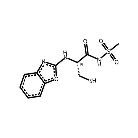 CS(=O)(=O)NC(=O)[C@H](CS)Nc1nc2ccccc2o1